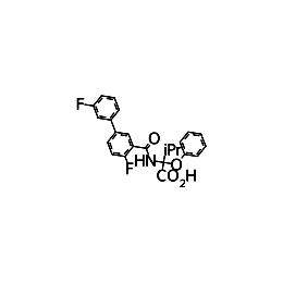 CC(C)C(NC(=O)c1cc(-c2cccc(F)c2)ccc1F)(Oc1ccccc1)C(=O)O